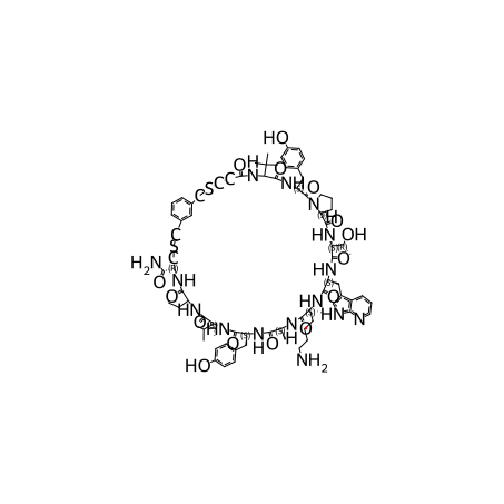 CCC1NC(=O)[C@](C)(C(C)C)NC(=O)[C@H](Cc2ccc(O)cc2)NC(=O)[C@H](C)NC(=O)[C@](C)(CCCCN)NC(=O)[C@H](Cc2c[nH]c3ncccc23)NC(=O)[C@H]([C@@H](C)O)NC(=O)[C@@H]2CCCN2C(=O)[C@H](Cc2ccc(O)cc2)NC(=O)C(C(C)(C)C)NC(=O)CCSCc2cccc(c2)CSC[C@@H](C(N)=O)NC1=O